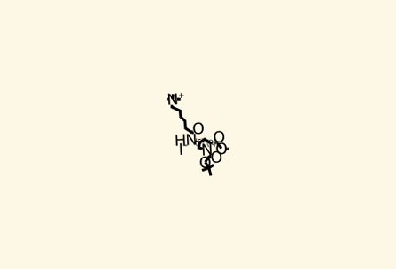 COC(=O)[C@H]1C[C@H](NC(=O)CCCCC[N+](C)(C)C)CN1C(=O)OC(C)(C)C.[I-]